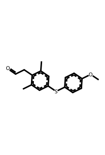 COc1ccc(Sc2cc(C)c(CC=O)c(C)c2)cc1